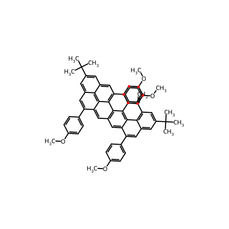 C=Cc1cc(C(C)(C)C)cc2cc(-c3ccc(OC)cc3)c3cc4cc5c(-c6ccc(OC)cc6)cc6cc(C(C)(C)C)cc7cc(-c8ccc(OC)cc8)c(c4c(-c4ccc(OC)cc4)c3c12)c5c67